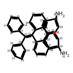 Nc1ccc(-c2ccccc2C(=C(c2ccccc2)c2ccccc2)c2ccccc2-c2ccc(N)cc2)cc1